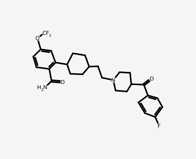 NC(=O)c1ccc(OC(F)(F)F)cc1C1CCC(CCN2CCC(C(=O)c3ccc(F)cc3)CC2)CC1